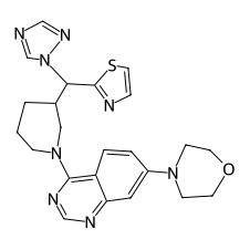 c1csc(C(C2CCCN(c3ncnc4cc(N5CCOCC5)ccc34)C2)n2cncn2)n1